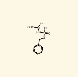 CC[C@H](C=O)NP(=O)(Cl)OCc1ccccc1